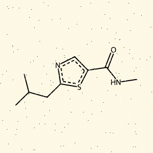 CNC(=O)c1cnc(C[C](C)C)s1